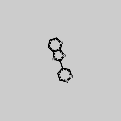 c1cnc2oc(-c3ccnnc3)nc2c1